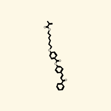 C=C(C)C(=O)OCCCCCCOc1ccc(C(=O)Oc2ccc(C=CC(=O)c3ccccc3)cc2)cc1